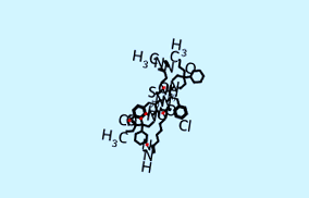 CCCC(=O)C1(C2CCCCC2)CCN(C(=O)[C@@H](Cc2ccc(Cl)cc2)N(C(=O)NCCCCCc2c[nH]cn2)N(C(=S)NCCc2cn(C)cn2)[C@H](Cc2ccc(Cl)cc2)C(=O)N2CCC(C(=O)CCC)(C3CCCCC3)CC2)CC1